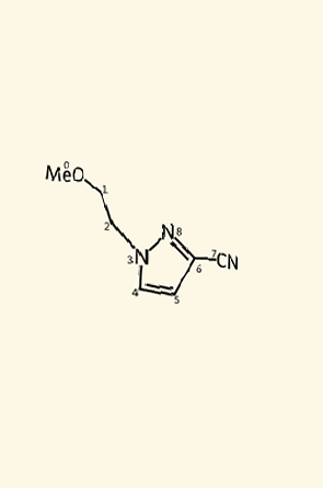 COCCn1ccc(C#N)n1